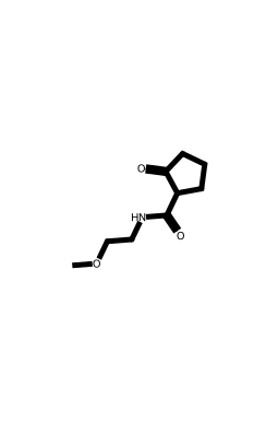 COCCNC(=O)C1CCCC1=O